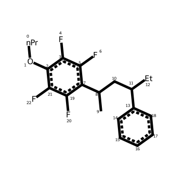 CCCOc1c(F)c(F)c(C(C)CC(CC)c2ccccc2)c(F)c1F